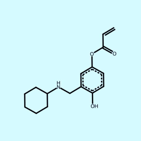 C=CC(=O)Oc1ccc(O)c(CNC2CCCCC2)c1